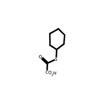 O=C(O)C(=O)SC1CCCCC1